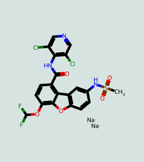 CS(=O)(=O)Nc1ccc2oc3c(OC(F)F)ccc(C(=O)Nc4c(Cl)cncc4Cl)c3c2c1.[Na].[Na]